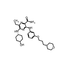 CCc1nc(C(N)=O)c(Nc2cccc(OCCCN3CCOCC3)c2)nc1N[C@H]1CC[C@H](O)CC1